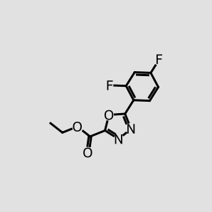 CCOC(=O)c1nnc(-c2ccc(F)cc2F)o1